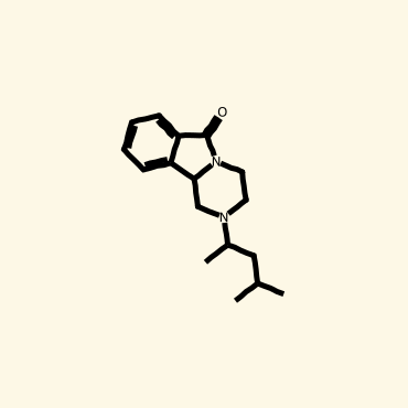 CC(C)CC(C)N1CCN2C(=O)c3ccccc3C2C1